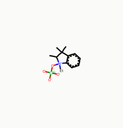 CC[N+]1(O[Cl+3]([O-])([O-])[O-])c2ccccc2C(C)(C)C1C